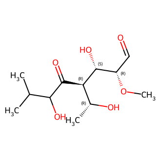 CO[C@@H](C=O)[C@@H](O)[C@H](C(=O)C(O)C(C)C)[C@@H](C)O